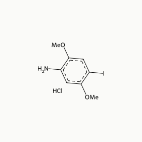 COc1cc(I)c(OC)cc1N.Cl